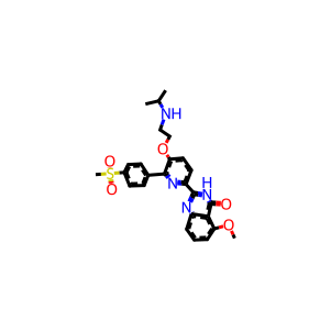 COc1cccc2nc(-c3ccc(OCCNC(C)C)c(-c4ccc(S(C)(=O)=O)cc4)n3)[nH]c(=O)c12